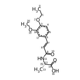 CCOc1ccc(C=CC(=O)N[C@@H](C)C(=O)O)cc1OC